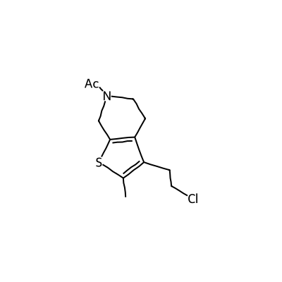 CC(=O)N1CCc2c(sc(C)c2CCCl)C1